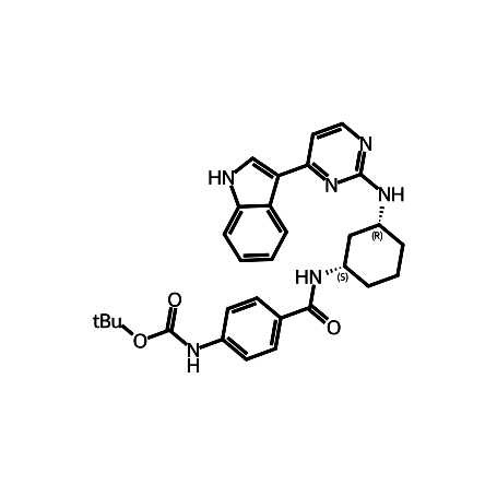 CC(C)(C)OC(=O)Nc1ccc(C(=O)N[C@H]2CCC[C@@H](Nc3nccc(-c4c[nH]c5ccccc45)n3)C2)cc1